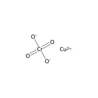 [Cu+2].[O]=[Cr](=[O])([O-])[O-]